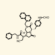 N#CCN(C(=O)NCc1ccccc1)N1CC(=O)N2[C@@H](Cc3ccc(NC=O)cc3)C(=O)N(Cc3cccc4ccccc34)C[C@@H]21